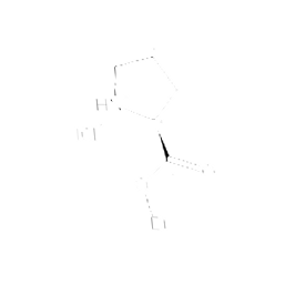 CCOC(=O)[C@@H]1CCCN1.Cl